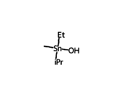 C[CH2][Sn]([CH3])([OH])[CH](C)C